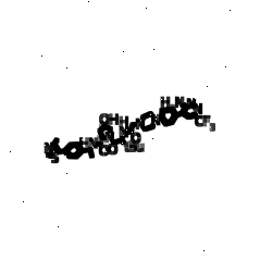 Cc1ncsc1-c1ccc(C(C)NC(=O)[C@@H]2C[C@@H](O)CN2C(=O)C(NC(=O)CN2CCN(c3ccc(-c4cc(C(F)(F)F)nnc4N)cc3)CC2)C(C)(C)C)cc1